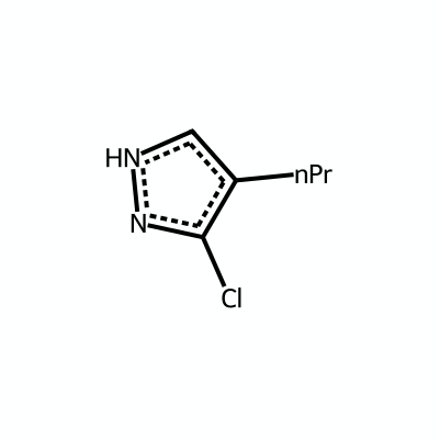 CCCc1c[nH]nc1Cl